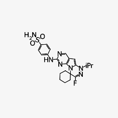 CC(C)N1N=C(F)C2(CCCCC2)n2c1cc1cnc(Nc3ccc(S(N)(=O)=O)cc3)nc12